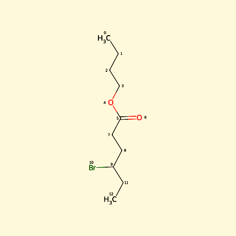 CCCCOC(=O)CCC(Br)CC